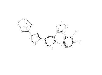 CN1C2CCC1CC(C1C=C(c3cnc(N)c(-c4nnnn4-c4cccc(F)c4F)c3)N=N1)C2